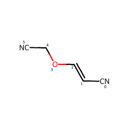 N#CC=COCC#N